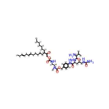 CCC=CCC=CCCCCCC(CCCCCCC)C(=O)COC(=O)NCCN(C)C(=O)OCc1ccc(NC(=O)[C@H](CCCNC(N)=O)NC(=O)[C@@H](N)C(C)C)cc1